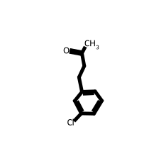 CC(=O)CCc1cccc(Cl)c1